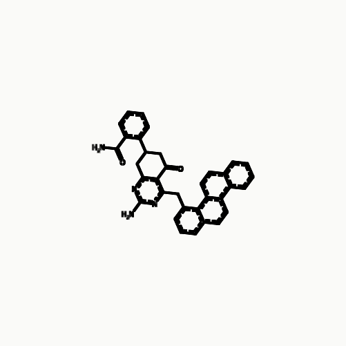 NC(=O)c1ccccc1C1CC(=O)c2c(Cc3cccc4ccc5c6ccccc6ccc5c34)nc(N)nc2C1